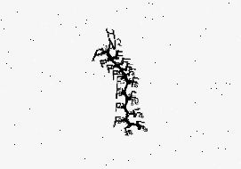 NC(F)C(F)(F)C(F)(F)C(F)(F)C(F)(F)C(F)C(F)C(F)C(F)C(F)C(F)C(F)F